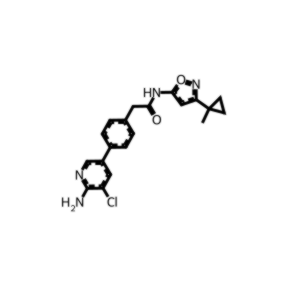 CC1(c2cc(NC(=O)Cc3ccc(-c4cnc(N)c(Cl)c4)cc3)on2)CC1